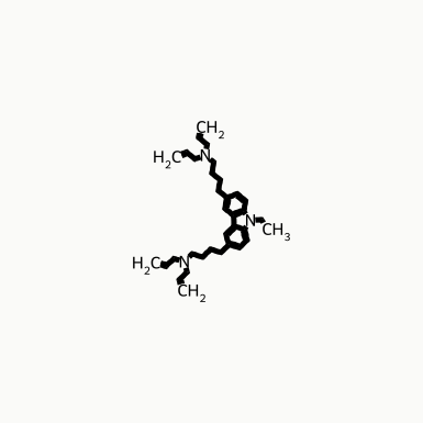 C=CCN(CC=C)CCCCc1ccc2c(c1)c1cc(CCCCN(CC=C)CC=C)ccc1n2CC